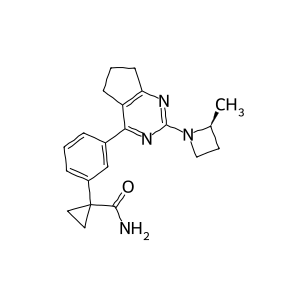 C[C@H]1CCN1c1nc2c(c(-c3cccc(C4(C(N)=O)CC4)c3)n1)CCC2